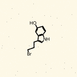 Oc1ccc2[nH]cc(CCCBr)c2c1